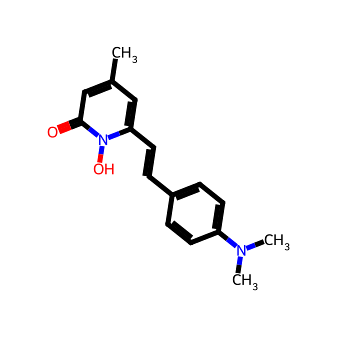 Cc1cc(C=Cc2ccc(N(C)C)cc2)n(O)c(=O)c1